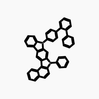 c1ccc(-c2ccccc2-c2ccc(-n3c4ccccc4c4cc5c6c7ccccc7ccc6n(-c6ccccc6)c5cc43)cc2)cc1